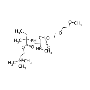 CBC(C)(CBC(C)(CC)C(=O)OCC[N+](C)(C)C)C(=O)OCCOCCOC